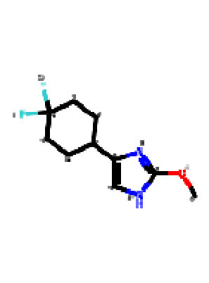 COc1nc(C2CCC(F)(F)CC2)c[nH]1